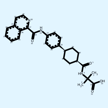 CC(C)(NC(=O)[C@H]1CC[C@@H](c2ccc(NC(=O)c3nccc4ccccc34)cc2)CC1)C(=O)O